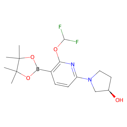 CC1(C)OB(c2ccc(N3CC[C@@H](O)C3)nc2OC(F)F)OC1(C)C